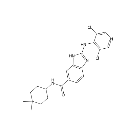 CC1(C)CCC(NC(=O)c2ccc3nc(Nc4c(Cl)cncc4Cl)[nH]c3c2)CC1